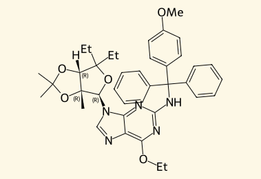 CCOc1nc(NC(c2ccccc2)(c2ccccc2)c2ccc(OC)cc2)nc2c1ncn2[C@@H]1OC(CC)(CC)[C@H]2OC(C)(C)O[C@]21C